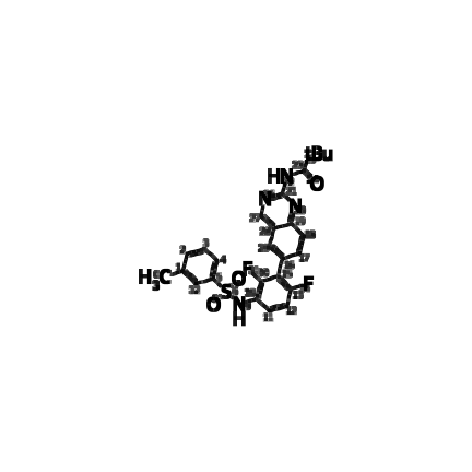 Cc1cccc(S(=O)(=O)Nc2ccc(F)c(-c3ccc4nc(NC(=O)C(C)(C)C)ncc4c3)c2F)c1